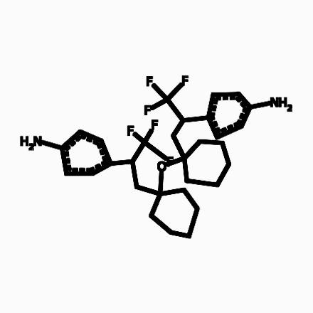 Nc1ccc(C(CC2(OC3(CC(c4ccc(N)cc4)C(F)(F)F)CCCCC3)CCCCC2)C(F)(F)F)cc1